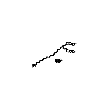 CC(C)CCCCCCCCCCCCCCCN(CCC(=O)[O-])CCC(=O)[O-].[Na+].[Na+]